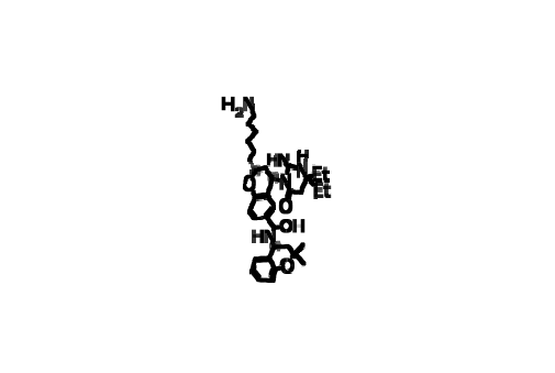 CCC1(CC)CC(=O)N([C@@H]2C[C@@H](CCCCCCN)Oc3ccc(C(O)N[C@H]4CC(C)(C)Oc5ccccc54)cc32)C(=N)N1